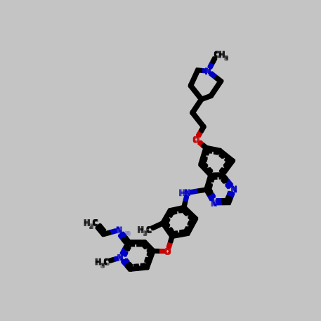 C=C/N=c1/cc(Oc2ccc(Nc3ncnc4ccc(OCCC5CCN(C)CC5)cc34)cc2C)ccn1C